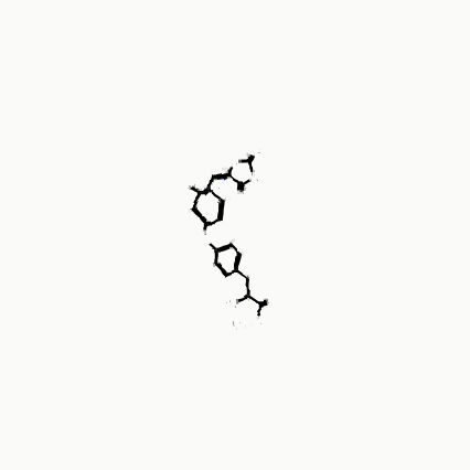 COC(=O)C(N)Cc1ccc(Oc2ccc(/C=C3/OC(=O)NC3=O)c(F)c2)cc1